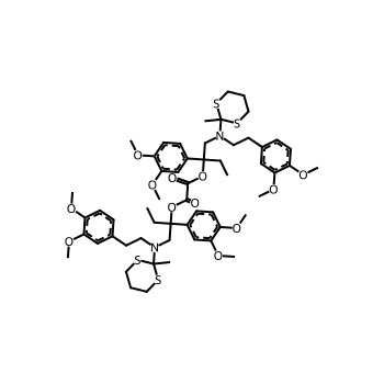 CCC(CN(CCc1ccc(OC)c(OC)c1)C1(C)SCCCS1)(OC(=O)C(=O)OC(CC)(CN(CCc1ccc(OC)c(OC)c1)C1(C)SCCCS1)c1ccc(OC)c(OC)c1)c1ccc(OC)c(OC)c1